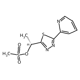 C[C@@H](OS(C)(=O)=O)c1nnc(-c2ccccn2)s1